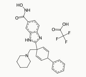 O=C(NO)c1ccc2nc(C3(CN4CCCCC4)C=CC(c4ccccc4)C=C3)[nH]c2c1.O=C(O)C(F)(F)F